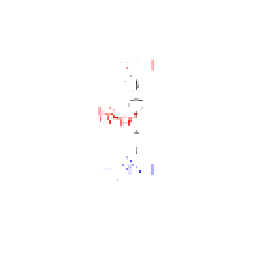 CS(=O)(=O)O.N=C(N)NC[C@H]1CC[C@H](C(=O)Oc2ccc(-c3ccc(C(=O)O)cc3)cc2)CC1